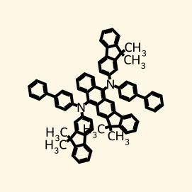 CC1(C)c2ccccc2-c2ccc(N(c3ccc(-c4ccccc4)cc3)c3c4ccccc4c(N(c4ccc(-c5ccccc5)cc4)c4ccc5c(c4)C(C)(C)c4ccccc4-5)c4cc5c(cc34)-c3ccccc3C5(C)C)cc21